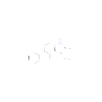 Cc1cc2c(c(C)c1-c1ccccc1)C1(C)CCCCC1(C)N2